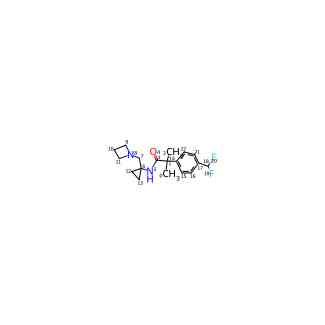 CC(C)(C(=O)NC1(CN2CCC2)CC1)c1ccc(C(F)F)cc1